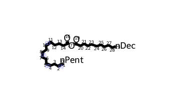 CCCCC/C=C\C/C=C\C/C=C\C/C=C\CCCC(=O)OC(=O)CCCCCCCCCCCCCCCCCCC